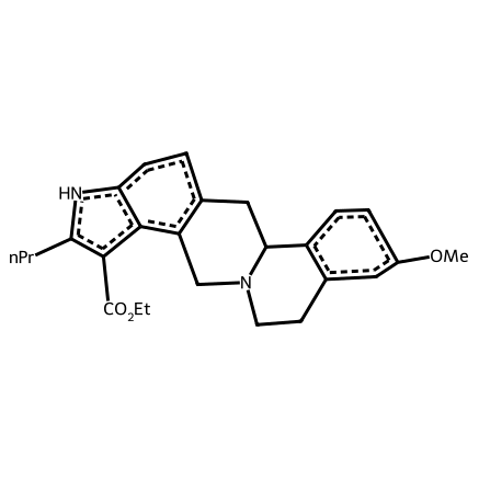 CCCc1[nH]c2ccc3c(c2c1C(=O)OCC)CN1CCc2cc(OC)ccc2C1C3